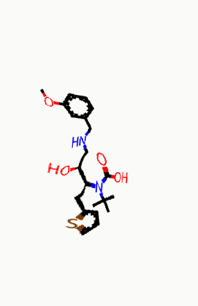 COc1cccc(CNC[C@H](O)[C@H](Cc2cccs2)N(C(=O)O)C(C)(C)C)c1